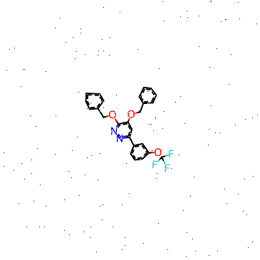 FC(F)(F)Oc1cccc(-c2cc(OCc3ccccc3)c(OCc3ccccc3)nn2)c1